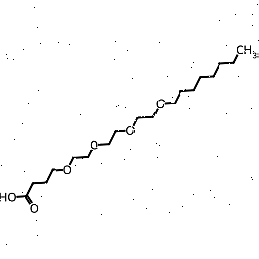 CCCCCCCCOCCOCCOCCOCCCC(=O)O